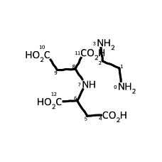 NCCN.O=C(O)CC(NC(CC(=O)O)C(=O)O)C(=O)O